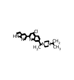 C=C(C)N1CCN(C(=C)c2ccc3c(Cl)cc(-c4cnc5[nH]ccc5c4)nc3c2)CC1